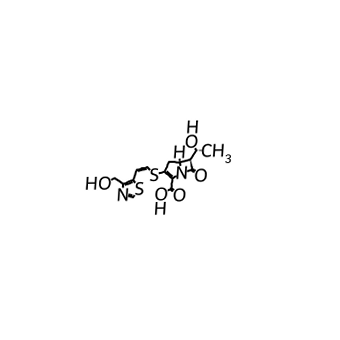 C[C@@H](O)[C@H]1C(=O)N2C(C(=O)O)=C(S/C=C\c3scnc3CO)C[C@H]12